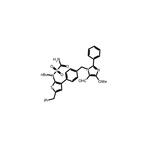 CCCCN(c1sc(CC(C)C)cc1-c1ccc(Cn2c(-c3ccccc3)nc(OC)c2C=O)cc1)S(=O)(=O)C(N)=O